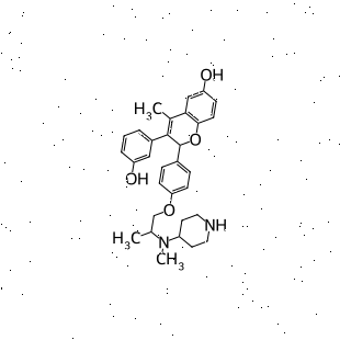 CC1=C(c2cccc(O)c2)C(c2ccc(OCC(C)N(C)C3CCNCC3)cc2)Oc2ccc(O)cc21